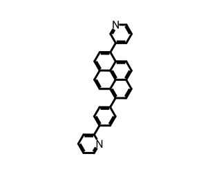 c1ccc(-c2ccc(-c3ccc4ccc5c(-c6cccnc6)ccc6ccc3c4c65)cc2)nc1